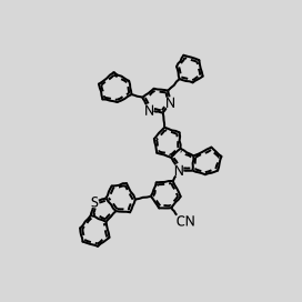 N#Cc1cc(-c2ccc3sc4ccccc4c3c2)cc(-n2c3ccccc3c3cc(-c4nc(-c5ccccc5)cc(-c5ccccc5)n4)ccc32)c1